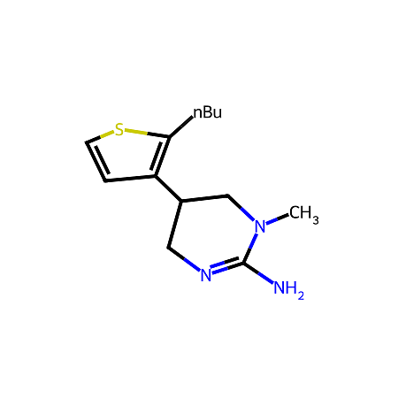 CCCCc1sccc1C1CN=C(N)N(C)C1